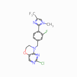 Cn1cc(C(F)(F)F)nc1-c1ccc(CN2CCOc3cnc(Cl)nc32)cc1F